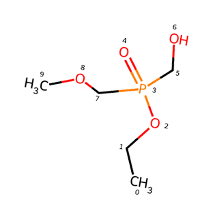 CCOP(=O)(CO)COC